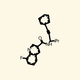 CC(C)C(C#Cc1ccccc1)NC(=O)c1cnc2c(F)cccc2c1